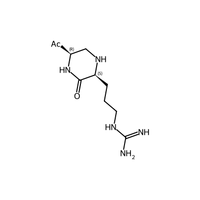 CC(=O)[C@H]1CN[C@@H](CCCNC(=N)N)C(=O)N1